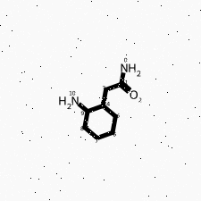 NC(=O)CC1CCCCC1N